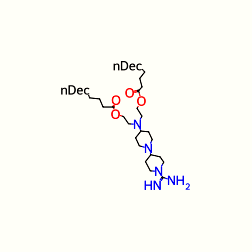 CCCCCCCCCCCCCC(=O)OCCN(CCOC(=O)CCCCCCCCCCCCC)C1CCN(C2CCN(C(=N)N)CC2)CC1